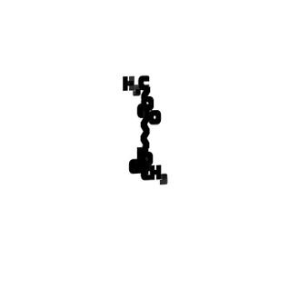 CCCOOC(=O)CCCCCO[PH](C)=O